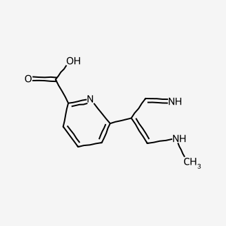 CN/C=C(\C=N)c1cccc(C(=O)O)n1